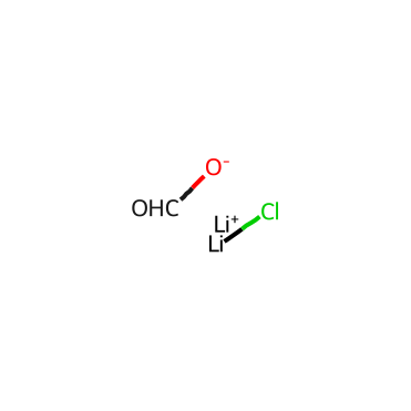 O=C[O-].[Li+].[Li][Cl]